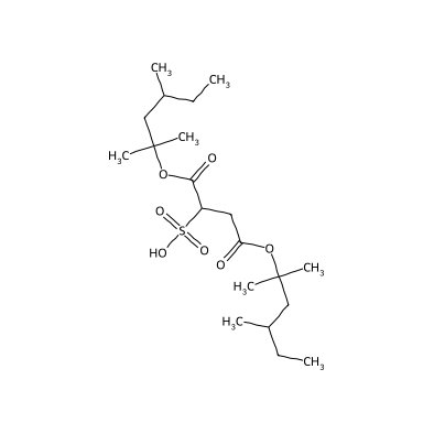 CCC(C)CC(C)(C)OC(=O)CC(C(=O)OC(C)(C)CC(C)CC)S(=O)(=O)O